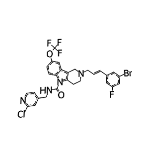 O=C(NCc1ccnc(Cl)c1)n1c2c(c3cc(OC(F)(F)F)ccc31)CN(C/C=C/c1cc(F)cc(Br)c1)CC2